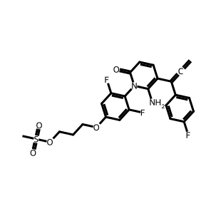 C=C=C(c1ccc(F)cc1)c1ccc(=O)n(-c2c(F)cc(OCCCOS(C)(=O)=O)cc2F)c1N